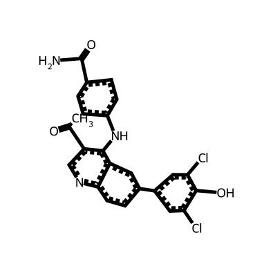 CC(=O)c1cnc2ccc(-c3cc(Cl)c(O)c(Cl)c3)cc2c1Nc1ccc(C(N)=O)cc1